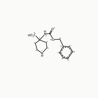 O=C(NC1(C(=O)O)CCNCC1)OCc1ccccc1